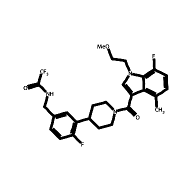 COCCn1cc(C(=O)N2CCC(c3cc(CNC(=O)C(F)(F)F)ccc3F)CC2)c2c(C)ccc(F)c21